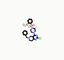 C[C@@H]1CN(c2nc(Cl)nc3c2CN(Cc2ccccc2)CC3)CCN1S(=O)(=O)c1ccccc1[N+](=O)[O-]